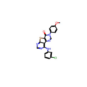 COc1ccc(-n2cnc3c(sc4ncnc(Nc5cccc(Cl)c5)c43)c2=O)cc1